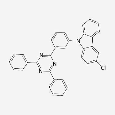 Clc1ccc2c(c1)c1ccccc1n2-c1cccc(-c2nc(-c3ccccc3)nc(-c3ccccc3)n2)c1